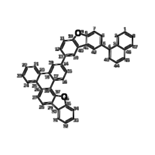 c1ccc2c(-c3ccc4oc5ccc(-c6ccc7c(c6)c6ccccc6c6ccc8c9ccccc9oc8c67)cc5c4c3)cccc2c1